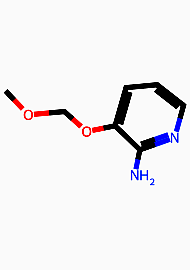 COCOc1cccnc1N